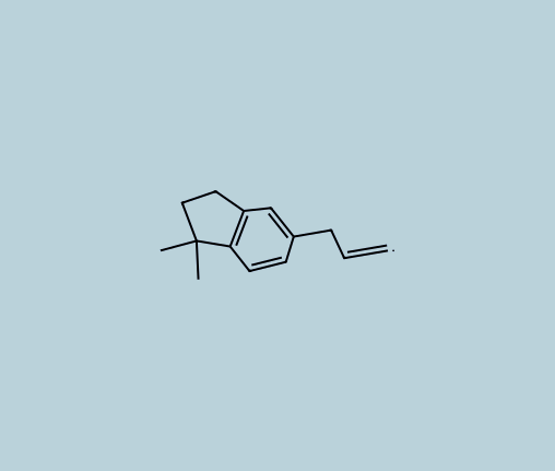 [CH]=CCc1ccc2c(c1)CCC2(C)C